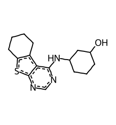 OC1CCCC(Nc2ncnc3sc4c(c23)CCCC4)C1